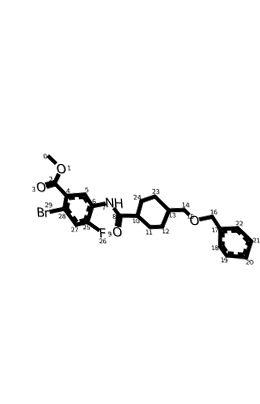 COC(=O)c1cc(NC(=O)C2CCC(COCc3ccccc3)CC2)c(F)cc1Br